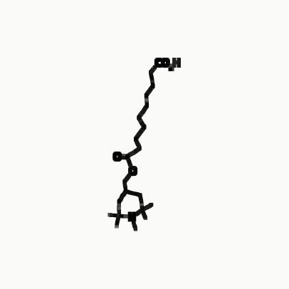 CN1C(C)(C)CC(COC(=O)CCCCCCCCC(=O)O)CC1(C)C